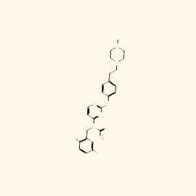 CN1CCN(CCc2ccc(Nc3nccc(N(Cc4cc(Cl)ccc4F)C(=O)O)n3)cc2)CC1